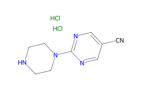 Cl.Cl.N#Cc1cnc(N2CCNCC2)nc1